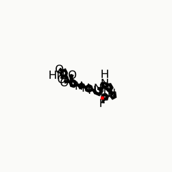 O=C1CCC(N2C(=O)c3ccc(N4CC(N5CCN(c6cccc(C7=CNC8C=CC(N9CCC[C@@H]9c9cccc(F)c9)=NN78)n6)CC5)C4)cc3C2=O)C(=O)N1